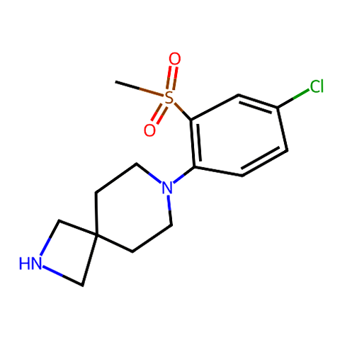 CS(=O)(=O)c1cc(Cl)ccc1N1CCC2(CC1)CNC2